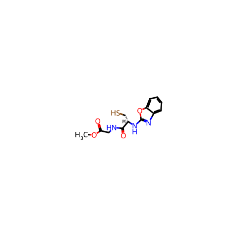 COC(=O)CNC(=O)[C@H](CS)Nc1nc2ccccc2o1